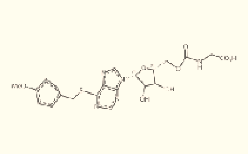 COc1ccc(CSc2ncnc3c2ncn3[C@@H]2O[C@H](COC(=O)NCC(=O)O)C(O)C2O)cc1